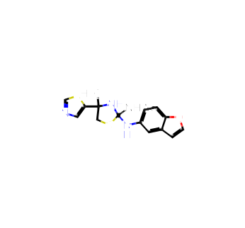 CC(=O)NC1(Nc2ccc3occc3c2)NC(C)(c2cncs2)CS1